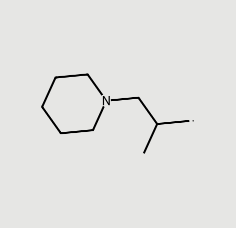 [CH2]C(C)CN1CCCCC1